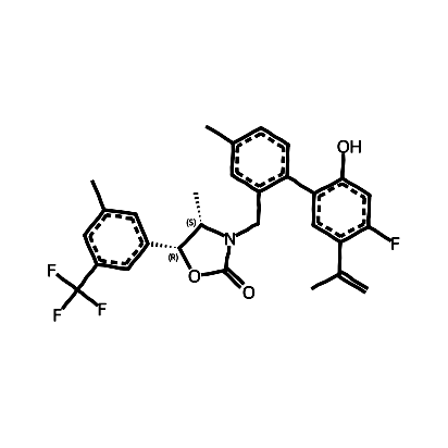 C=C(C)c1cc(-c2ccc(C)cc2CN2C(=O)O[C@H](c3cc(C)cc(C(F)(F)F)c3)[C@@H]2C)c(O)cc1F